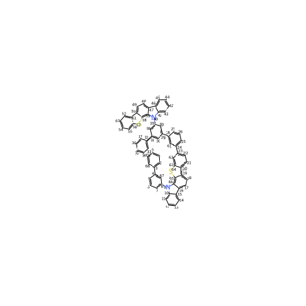 c1ccc(-c2cccc(-n3c4ccccc4c4ccc5c6ccc(-c7cccc(-c8cc(-c9ccccc9)cc(-n9c%10ccccc%10c%10ccc%11c%12ccccc%12sc%11c%109)c8)c7)cc6sc5c43)c2)cc1